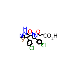 O=C(O)CCC(=O)N1N=C(c2c(-c3ccc(Cl)cc3)c3scnc3[nH]c2=O)CC1c1ccc(Cl)cc1